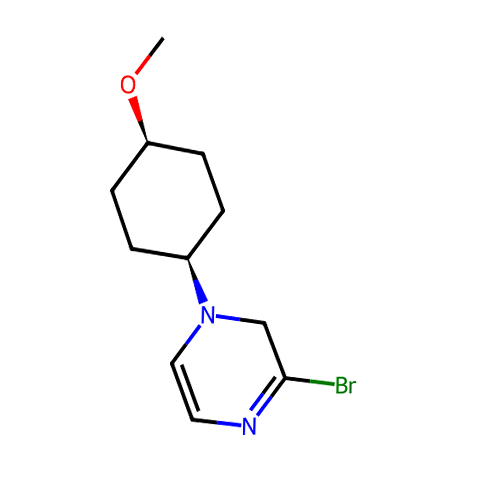 CO[C@H]1CC[C@@H](N2C=CN=C(Br)C2)CC1